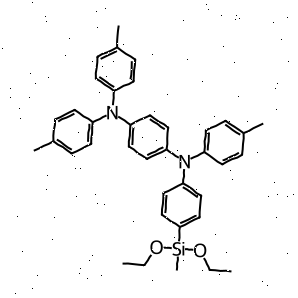 CCO[Si](C)(OCC)c1ccc(N(c2ccc(C)cc2)c2ccc(N(c3ccc(C)cc3)c3ccc(C)cc3)cc2)cc1